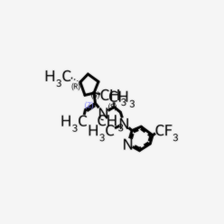 C/C=C(\N(C)[C@@H](C)CN(C)c1cc(C(F)(F)F)ccn1)[C@@]1(C)CC[C@@H](C)C1